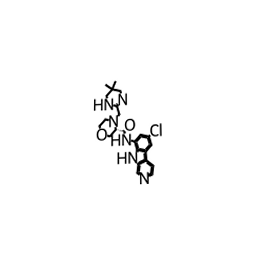 CC1(C)CN=C(CN2CCOC[C@H]2C(=O)Nc2cc(Cl)cc3c2[nH]c2cnccc23)NC1